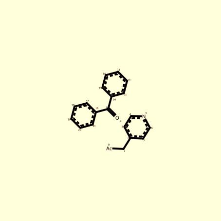 CC(=O)Cc1ccncc1.O=C(c1ccccc1)c1ccccc1